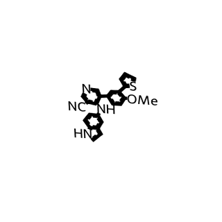 COc1ccc(-c2cncc(C#N)c2Nc2ccc3[nH]ccc3c2)cc1-c1cccs1